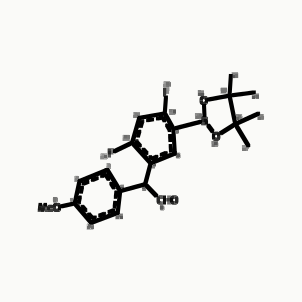 COc1ccc(C(C=O)c2cc(B3OC(C)(C)C(C)(C)O3)c(F)cc2F)cc1